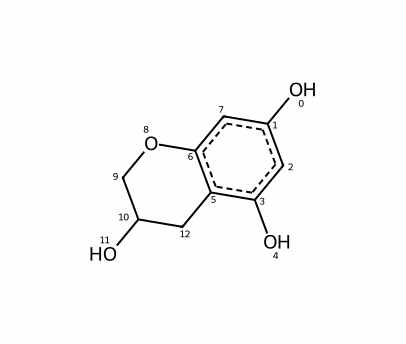 Oc1cc(O)c2c(c1)OCC(O)C2